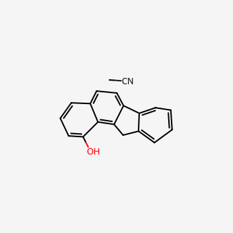 CC#N.Oc1cccc2ccc3c(c12)Cc1ccccc1-3